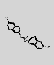 Oc1ccc2cc(OBOc3ccc4cc(O)ccc4c3)ccc2c1